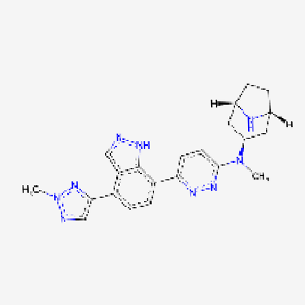 CN(c1ccc(-c2ccc(-c3cnn(C)n3)c3cn[nH]c23)nn1)[C@@H]1C[C@H]2CC[C@@H](C1)N2